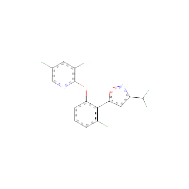 N#Cc1cc(Cl)cnc1Oc1cccc(F)c1-c1cc(C(F)F)no1